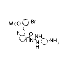 COc1ccc(Br)cc1CCc1c(F)cccc1C(=O)NC(=N)N[C@H]1CC[C@H](N)CC1